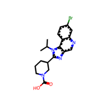 CC(C)n1c(C2CCCN(C(=O)O)C2)nc2cnc3cc(Br)ccc3c21